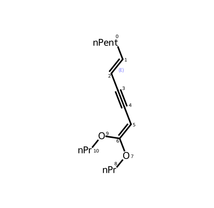 CCCCC/C=C/C#CC=C(OCCC)OCCC